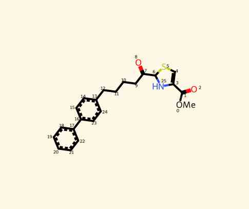 COC(=O)C1=CSC(C(=O)CCCCc2ccc(-c3ccccc3)cc2)N1